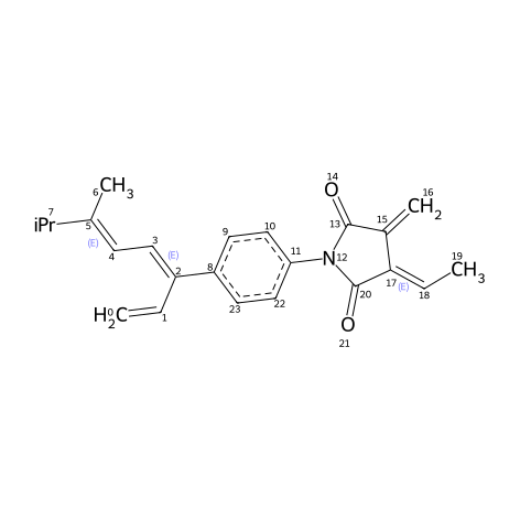 C=C/C(=C\C=C(/C)C(C)C)c1ccc(N2C(=O)C(=C)/C(=C\C)C2=O)cc1